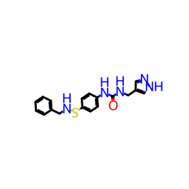 O=C(NCc1cn[nH]c1)Nc1ccc(SNCc2ccccc2)cc1